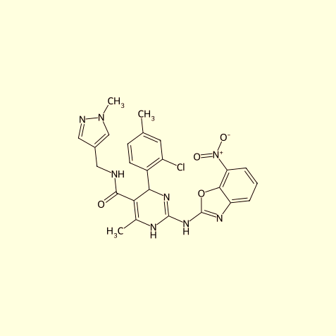 CC1=C(C(=O)NCc2cnn(C)c2)C(c2ccc(C)cc2Cl)N=C(Nc2nc3cccc([N+](=O)[O-])c3o2)N1